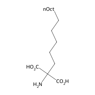 CCCCCCCCCCCCCC(N)(C(=O)O)C(=O)O